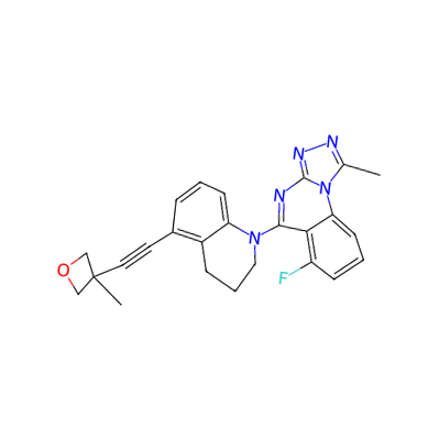 Cc1nnc2nc(N3CCCc4c(C#CC5(C)COC5)cccc43)c3c(F)cccc3n12